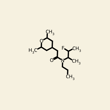 CCCN(C(=O)CC1CC(C)OC(C)C1)C(C)C(C)F